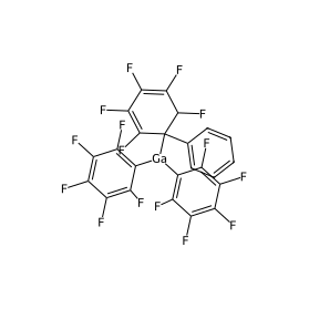 FC1=C(F)C(F)[C](c2ccccc2)([Ga]([c]2c(F)c(F)c(F)c(F)c2F)[c]2c(F)c(F)c(F)c(F)c2F)C(F)=C1F